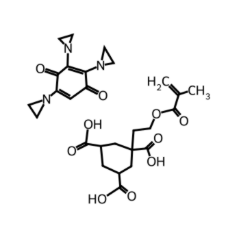 C=C(C)C(=O)OCCC1(C(=O)O)CC(C(=O)O)CC(C(=O)O)C1.O=C1C=C(N2CC2)C(=O)C(N2CC2)=C1N1CC1